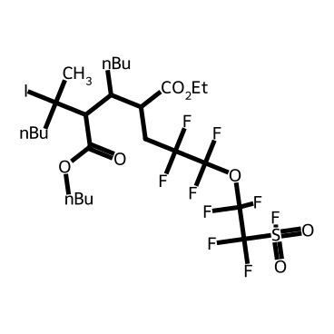 CCCCOC(=O)C(C(CCCC)C(CC(F)(F)C(F)(F)OC(F)(F)C(F)(F)S(=O)(=O)F)C(=O)OCC)C(C)(I)CCCC